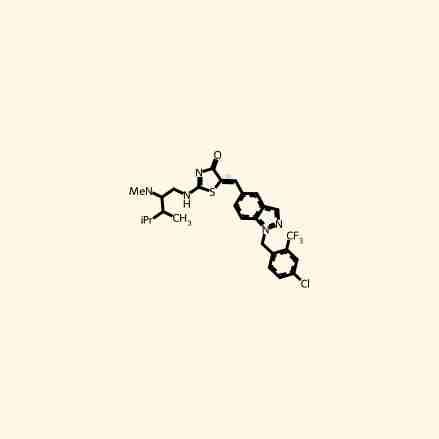 CNC(CNC1=NC(=O)/C(=C/c2ccc3c(cnn3Cc3ccc(Cl)cc3C(F)(F)F)c2)S1)C(C)C(C)C